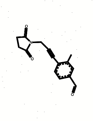 Cc1cc(C=O)ccc1C#CCN1C(=O)CCC1=O